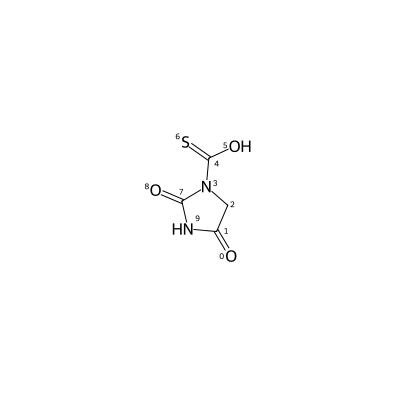 O=C1CN(C(O)=S)C(=O)N1